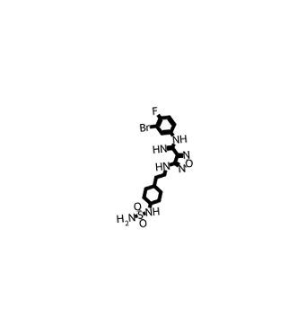 N=C(Nc1ccc(F)c(Br)c1)c1nonc1NCCC1CCC(NS(N)(=O)=O)CC1